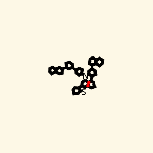 c1ccc(-c2ccc(-c3cccc4ccccc34)cc2N(c2ccc(-c3cccc(-c4ccc5ccccc5c4)c3)cc2)c2ccc3sc4ccccc4c3c2)cc1